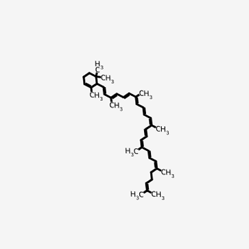 CC(C)=CCCC(C)=CC=CC(C)=CC=CC(C)=CC=CC=C(C)C=CC=C(C)C=CC1C(C)=CCCC1(C)C